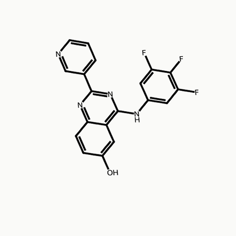 Oc1ccc2nc(-c3cccnc3)nc(Nc3cc(F)c(F)c(F)c3)c2c1